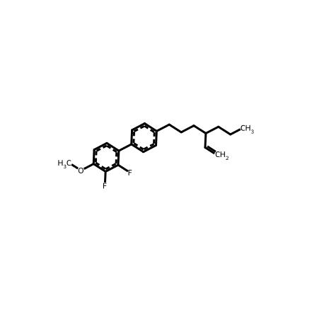 C=CC(CCC)CCCc1ccc(-c2ccc(OC)c(F)c2F)cc1